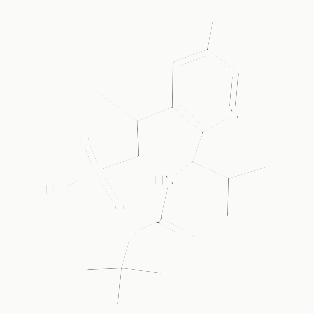 CC(CS(=O)(=O)O)c1cc(Cl)cnc1C(NC(=O)OC(C)(C)C)C(C)C